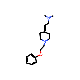 CN(C)CC=C1CCN(CCOc2ccccc2)CC1